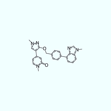 Cn1cc(-c2ccn(C)c(=O)c2)c(OCc2ccc(-c3cccc4c3ncn4C)cc2)n1